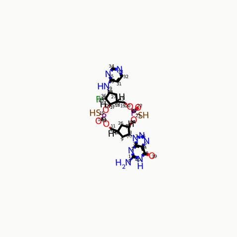 Nc1nc2c(nnn2[C@@H]2C[C@@H]3CO[P@](=O)(S)O[C@@H]4[C@@H](CO[P@](=O)(S)O[C@@H]2C3)C[C@@H](Nc2ccncn2)[C@@H]4F)c(=O)[nH]1